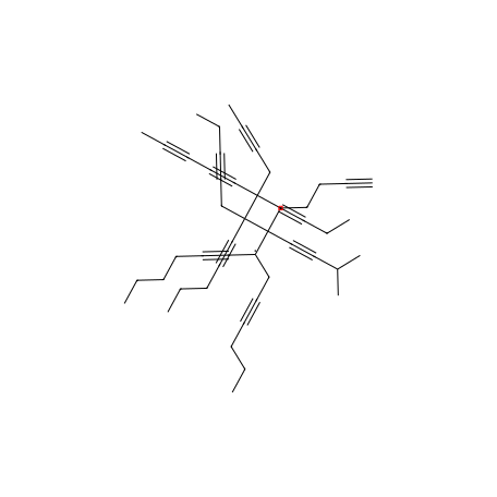 C#CCCCC(C#CC(C)C)([C](C#CCCCC)CC#CCCC)C(C#CCCC)(CC#CCC)C(C#CC#CC)(C#CCC)CC#CC